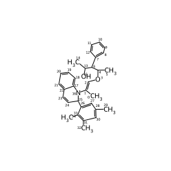 C/C(=C\OC(C)C(c1ccccc1)C(C)O)N1c2ccccc2C=CC1c1cc(C)cc(C)c1C